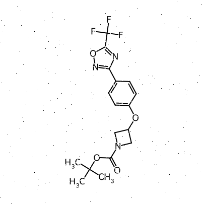 CC(C)(C)OC(=O)N1CC(Oc2ccc(-c3noc(C(F)(F)F)n3)cc2)C1